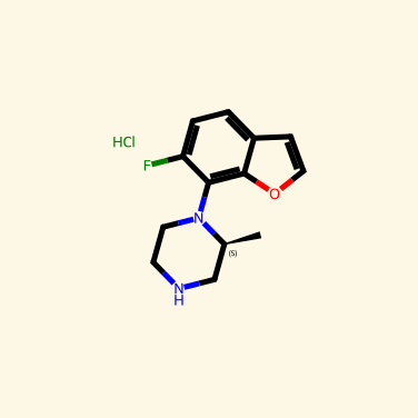 C[C@H]1CNCCN1c1c(F)ccc2ccoc12.Cl